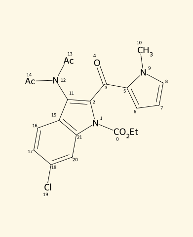 CCOC(=O)n1c(C(=O)c2cccn2C)c(N(C(C)=O)C(C)=O)c2ccc(Cl)cc21